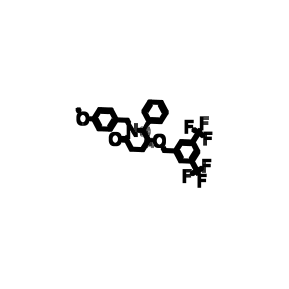 COc1ccc(CN2C(=O)CC[C@H](OCc3cc(C(F)(F)F)cc(C(F)(F)F)c3)[C@@H]2c2ccccc2)cc1